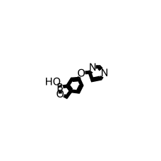 OB1OCc2ccc(Oc3ccncn3)cc21